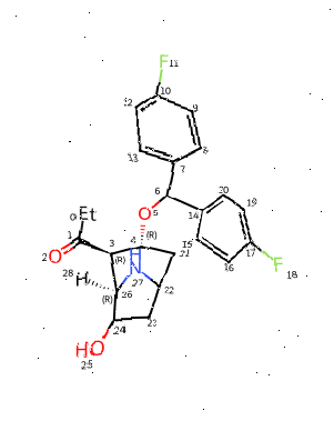 CCC(=O)[C@H]1[C@H](OC(c2ccc(F)cc2)c2ccc(F)cc2)CC2CC(O)[C@@H]1N2